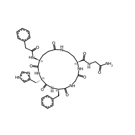 NC(=O)CNC(=O)[C@@H]1CCNC(=O)CC[C@H](NC(=O)Cc2ccccc2)C(=O)N[C@@H](Cc2c[nH]cn2)C(=O)N[C@H](Cc2ccccc2)C(=O)NCC(=O)N1